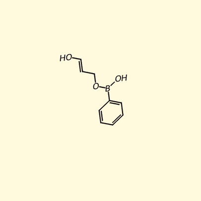 OC=CCOB(O)c1ccccc1